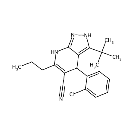 CCCC1=C(C#N)C(c2ccccc2Cl)c2c(n[nH]c2C(C)(C)C)N1